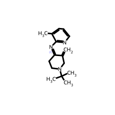 C=C1CN(C(C)(C)C)CC/C1=N/c1ncccc1C